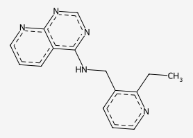 CCc1ncccc1CNc1ncnc2ncccc12